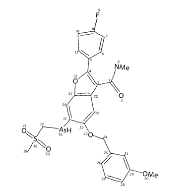 CNC(=O)c1c(-c2ccc(F)cc2)oc2cc([AsH]CS(C)(=O)=O)c(OCc3cccc(OC)c3)cc12